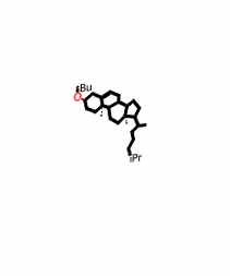 CC(C)CCCC(C)C1CCC2C3CC=C4C[C@H](OC(C)(C)C)CC[C@]4(C)C3CC[C@]12C